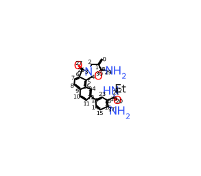 C=C(CN1Cc2c(ccc3ccc(-c4ccc(N)c(C(=O)NCC)c4)cc23)C1=O)C(N)=O